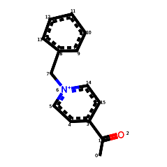 CC(=O)c1cc[n+](Cc2ccccc2)cc1